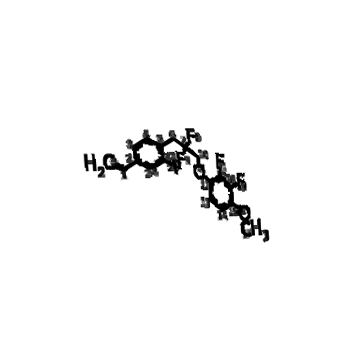 C=Cc1ccc(CC(F)(F)COc2ccc(OC)c(F)c2F)c(F)c1